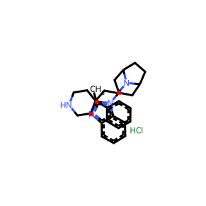 Cc1nc2ccccc2n1C1CC2CCC(C1)N2CCC1(c2ccccc2)CCNCC1.Cl